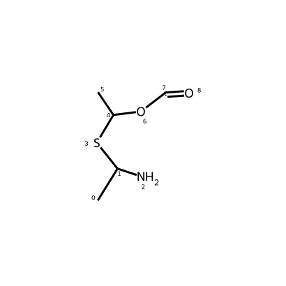 CC(N)SC(C)O[C]=O